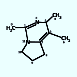 CC1=NC(C)C(C)=C2CCCN12